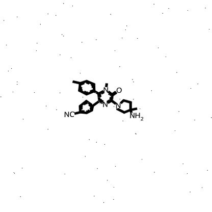 Cc1ccc(-c2c(-c3ccc(C#N)cc3)nc(N3CCC(C)(N)CC3)c(=O)n2C)cc1